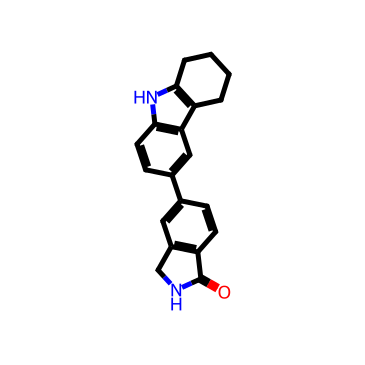 O=C1NCc2cc(-c3ccc4[nH]c5c(c4c3)CCCC5)ccc21